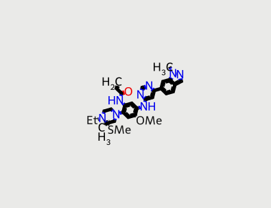 C=CC(=O)Nc1cc(Nc2cc(-c3ccc4cnn(C)c4c3)ncn2)c(OC)cc1N1CCN(CC)[C@@](C)(SC)C1